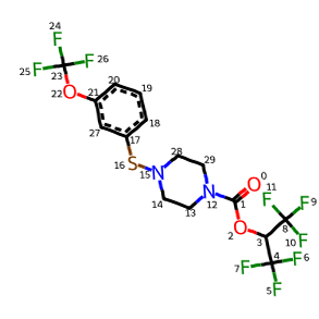 O=C(OC(C(F)(F)F)C(F)(F)F)N1CCN(Sc2cccc(OC(F)(F)F)c2)CC1